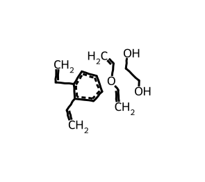 C=COC=C.C=Cc1ccccc1C=C.OCCO